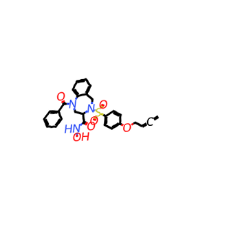 C=C=CCOc1ccc(S(=O)(=O)N2Cc3ccccc3N(C(=O)c3ccccc3)CC2C(=O)NO)cc1